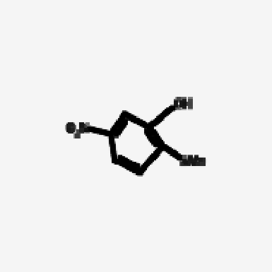 CSc1ccc([N+](=O)[O-])cc1O